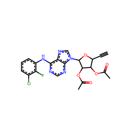 C#CC1OC(n2cnc3c(Nc4cccc(Cl)c4F)ncnc32)C(OC(C)=O)C1OC(C)=O